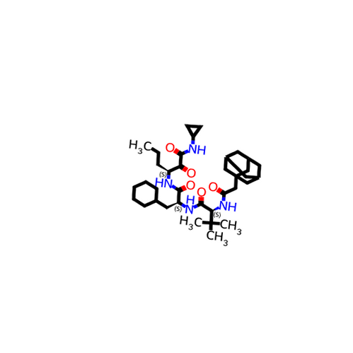 CCC[C@H](NC(=O)[C@H](CC1CCCCC1)NC(=O)[C@@H](NC(=O)CC12CC3CC(CC(C3)C1)C2)C(C)(C)C)C(=O)C(=O)NC1CC1